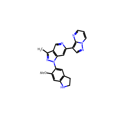 COc1cc2c(cc1-n1nc(C)c3cnc(-c4cnn5cccnc45)cc31)CCN2